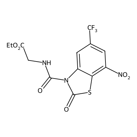 CCOC(=O)CNC(=O)n1c(=O)sc2c([N+](=O)[O-])cc(C(F)(F)F)cc21